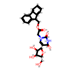 O=C(Cn1cc([C@@H]2O[C@H](CO)C(O)C2O)c(=O)[nH]c1=O)OCC1c2ccccc2-c2ccccc21